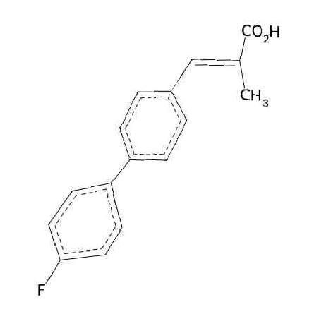 CC(=Cc1ccc(-c2ccc(F)cc2)cc1)C(=O)O